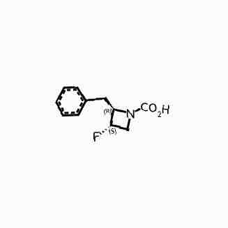 O=C(O)N1C[C@H](F)[C@H]1Cc1ccccc1